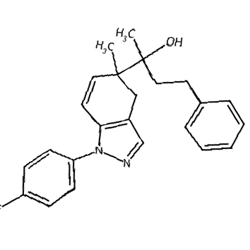 CC(O)(CCc1ccccc1)C1(C)C=Cc2c(cnn2-c2ccc(F)cc2)C1